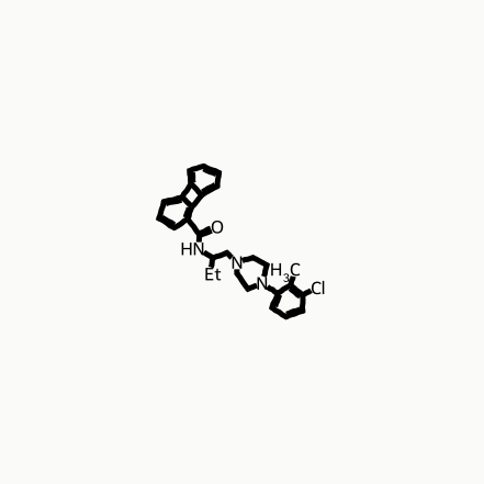 CCC(CN1CCN(c2cccc(Cl)c2C)CC1)NC(=O)c1cccc2c1-c1ccccc1-2